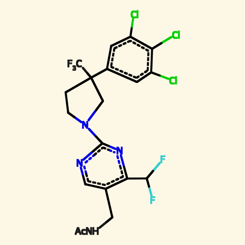 CC(=O)NCc1cnc(N2CCC(c3cc(Cl)c(Cl)c(Cl)c3)(C(F)(F)F)C2)nc1C(F)F